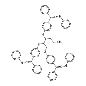 CCCC(Oc1ccc(C(=C=Nc2ccccc2)c2ccccc2)cc1)C(COc1ccc(C(=C=Nc2ccccc2)c2ccccc2)cc1)Oc1ccc(C(=C=Nc2ccccc2)c2ccccc2)cc1